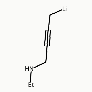 [Li][CH2]C#CCNCC